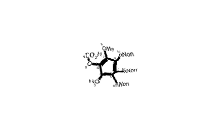 CCCCCCCCCc1c(O)c(OC(=O)O)c(OC)c(CCCCCCCCC)c1CCCCCCCCC